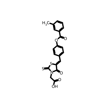 Cc1cccc(C(=O)Oc2ccc(/C=C3\SC(=S)N(CC(=O)O)C3=O)cc2)c1